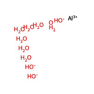 O.O.O.O.O.O.O.[Al+3].[OH-].[OH-].[OH-]